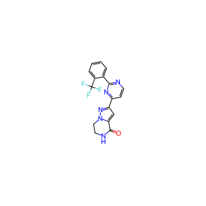 O=C1NCCn2nc(-c3ccnc(-c4ccccc4C(F)(F)F)n3)cc21